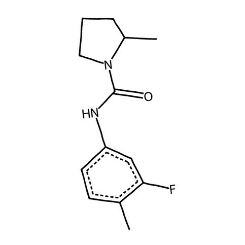 Cc1ccc(NC(=O)N2CCCC2C)cc1F